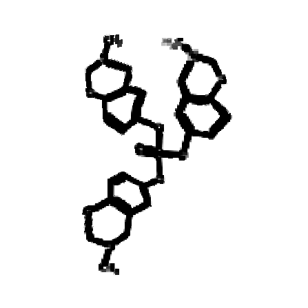 CN1COc2ccc(OP(=O)(Oc3ccc4c(c3)CN(C)CO4)Oc3ccc4c(c3)CN(C)CO4)cc2C1